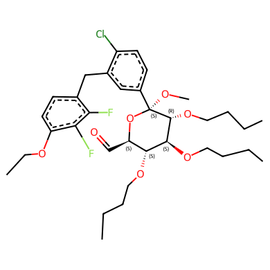 CCCCO[C@H]1[C@H](OCCCC)[C@@H](C=O)O[C@@](OC)(c2ccc(Cl)c(Cc3ccc(OCC)c(F)c3F)c2)[C@@H]1OCCCC